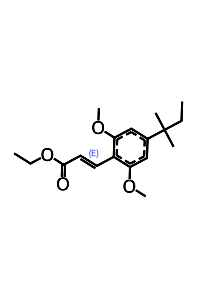 CCOC(=O)/C=C/c1c(OC)cc(C(C)(C)CC)cc1OC